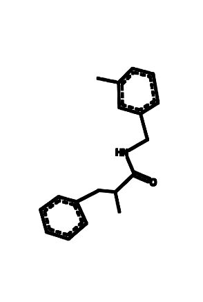 Cc1cccc(CNC(=O)C(C)Cc2ccccc2)c1